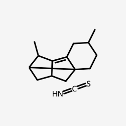 CC1CCC23CC4CC2C(C)C4=C3C1.N=C=S